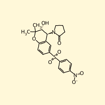 CC1(C)Oc2ccc(S(=O)(=O)c3ccc([N+](=O)[O-])cc3)cc2[C@H](N2CCCC2=O)[C@H]1O